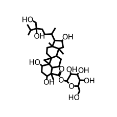 CC(CCC(O)(CO)C(C)C)C1C(O)CC2(C)C3CCC4C(C)(C(=O)OC5OC(CO)C(O)C(O)C5O)C(O)CC(O)C45CC35CCC12C